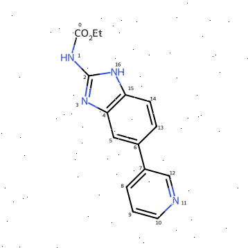 CCOC(=O)Nc1nc2cc(-c3cccnc3)ccc2[nH]1